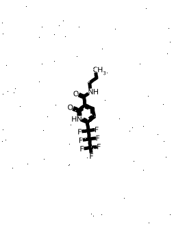 CCCNC(=O)c1ccc(C(F)(F)C(F)(F)C(F)(F)F)[nH]c1=O